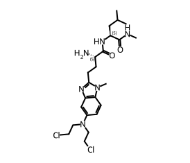 CNC(=O)[C@H](CC(C)C)NC(=O)[C@@H](N)CCc1nc2cc(N(CCCl)CCCl)ccc2n1C